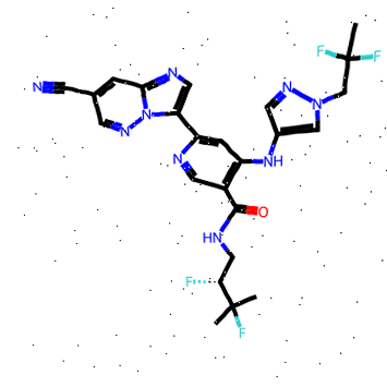 CC(F)(F)Cn1cc(Nc2cc(-c3cnc4cc(C#N)cnn34)ncc2C(=O)NC[C@@H](F)C(C)(C)F)cn1